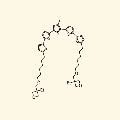 CCC1(COCCCCCCc2ccc(-c3ccc(-c4cc(C)c(-c5ccc(-c6ccc(CCCCCCOCC7(CC)COC7)s6)s5)s4)s3)s2)COC1